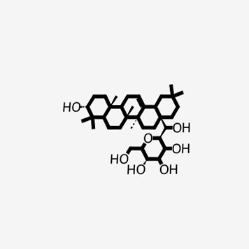 CC1(C)CC[C@]2(C(O)[C@@H]3OC(CO)[C@@H](O)C(O)C3O)CC[C@]3(C)C(=CCC4[C@@]5(C)CC[C@@H](O)C(C)(C)C5CC[C@]43C)C2C1